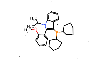 COc1ccccc1-c1c(P(C2CCCCC2)C2CCCCC2)c2ccccc2n1C(C)C